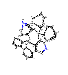 c1ccc([Si]2(c3ccccc3)c3ccncc3[Si](c3ccccc3)(c3ccccc3)c3cnccc32)cc1